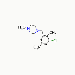 Cc1c(Cl)cc([N+](=O)[O-])cc1CN1CCN(C)CC1